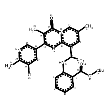 Cc1cc(C(C)Nc2ccccc2C(=O)OC(C)(C)C)c2nc(-c3cnc(C)c(Cl)c3)c(C)c(=O)n2c1